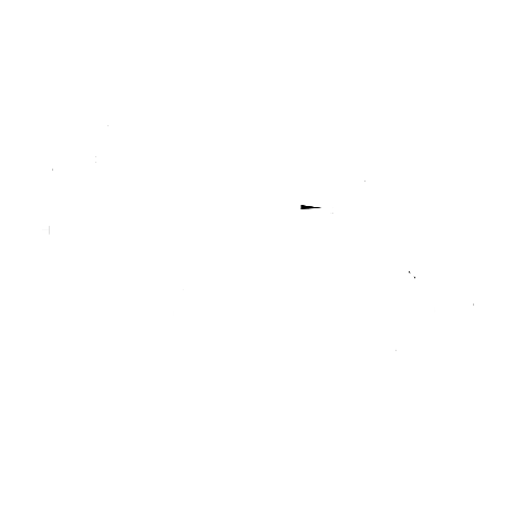 COc1cc(O)c(C(=O)O)cc1-c1ccc([C@H]2CC23CCN(C(=O)C2CCCO2)CC3)cc1